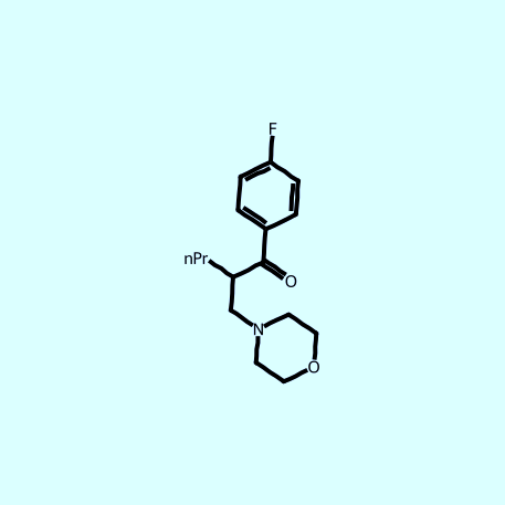 CCCC(CN1CCOCC1)C(=O)c1ccc(F)cc1